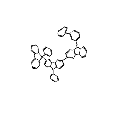 C1=CC2c3cc(-c4ccc5c(c4)c4cc(C6(c7ccccc7)c7ccccc7-c7ccccc76)ccc4n5-c4ccccc4)ccc3N(c3cccc(-c4ccccc4)c3)C2C=C1